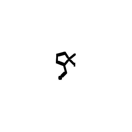 CS1(I)C=CC=C1C=O